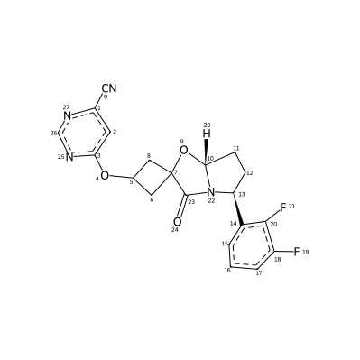 N#Cc1cc(OC2CC3(C2)O[C@@H]2CC[C@@H](c4cccc(F)c4F)N2C3=O)ncn1